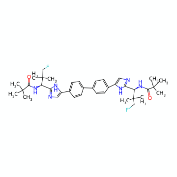 CC(C)(C)C(=O)N[C@H](c1ncc(-c2ccc(-c3ccc(-c4cnc([C@@H](NC(=O)C(C)(C)C)C(C)(C)CF)[nH]4)cc3)cc2)[nH]1)C(C)(C)CF